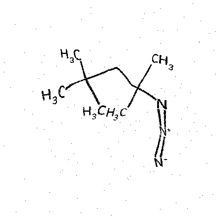 CC(C)(C)CC(C)(C)N=[N+]=[N-]